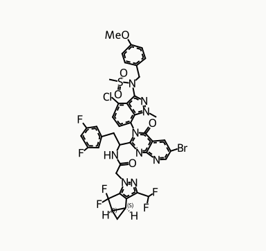 COc1ccc(CN(c2nn(C)c3c(-n4c(C(Cc5cc(F)cc(F)c5)NC(=O)Cn5nc(C(F)F)c6c5C(F)(F)[C@@H]5C[C@H]65)nc5ncc(Br)cc5c4=O)ccc(Cl)c23)S(C)(=O)=O)cc1